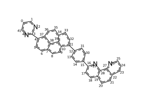 c1cnc(-c2ccc3ccc4c(-c5ccc(-c6ccc7ccc8cccnc8c7n6)cc5)ccc5ccc2c3c54)nc1